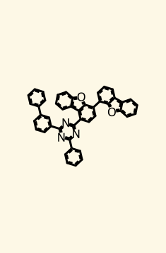 c1ccc(-c2cccc(-c3nc(-c4ccccc4)nc(-c4ccc(-c5cccc6c5oc5ccccc56)c5oc6ccccc6c45)n3)c2)cc1